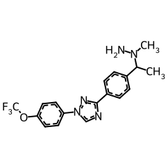 CC(c1ccc(-c2ncn(-c3ccc(OC(F)(F)F)cc3)n2)cc1)N(C)N